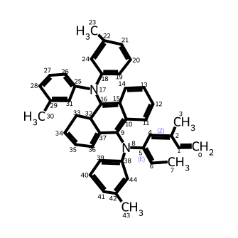 C=C/C(C)=C\C(=C/C)N(C1=c2ccccc2=C(N(c2cccc(C)c2)c2cccc(C)c2)C2CC=CC=C12)c1cccc(C)c1